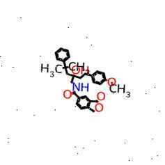 COc1ccc(CC[C@](O)(CNC(=O)c2ccc3c(c2)C(=O)OC3)CC(C)(C)c2ccccc2)cc1